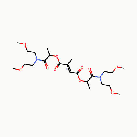 COCCN(CCOC)C(=O)C(C)OC(=O)/C=C(\C)C(=O)OC(C)C(=O)N(CCOC)CCOC